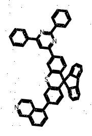 c1ccc(-c2cc(-c3ccc4c(c3)Sc3cc(-c5cccc6cnccc56)ccc3C43c4ccccc4-c4ccccc43)nc(-c3ccccc3)n2)cc1